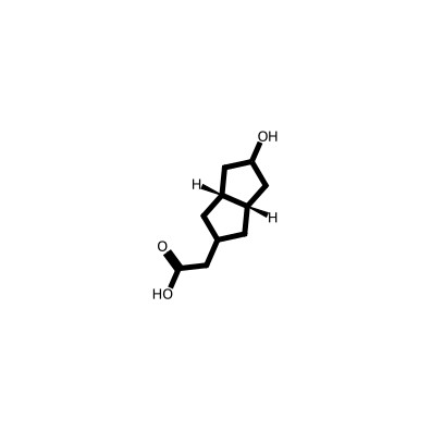 O=C(O)CC1C[C@H]2CC(O)C[C@H]2C1